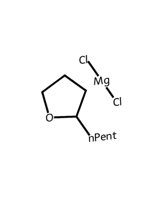 CCCCCC1CCCO1.[Cl][Mg][Cl]